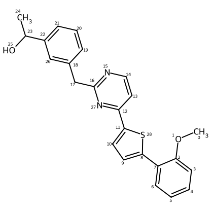 COc1ccccc1-c1ccc(-c2ccnc(Cc3cccc(C(C)O)c3)n2)s1